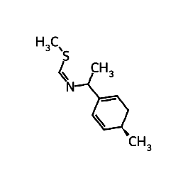 CS/C=N\C(C)C1=CC[C@@H](C)C=C1